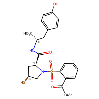 COC(=O)c1ccccc1S(=O)(=O)N1C[C@@H](S)C[C@H]1C(=O)N[C@@H](Cc1ccc(O)cc1)C(=O)O